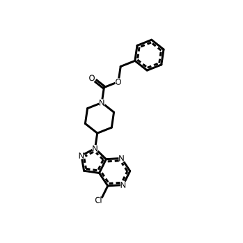 O=C(OCc1ccccc1)N1CCC(n2ncc3c(Cl)ncnc32)CC1